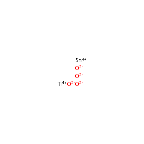 [O-2].[O-2].[O-2].[O-2].[Sn+4].[Ti+4]